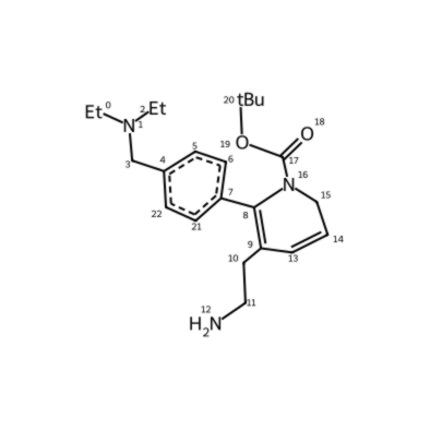 CCN(CC)Cc1ccc(C2=C(CCN)C=CCN2C(=O)OC(C)(C)C)cc1